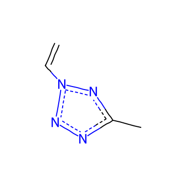 C=Cn1nnc(C)n1